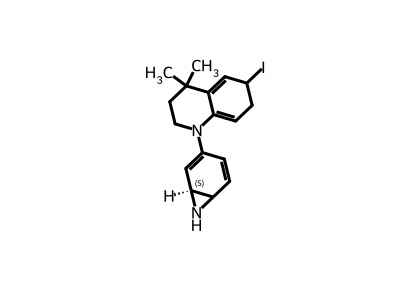 CC1(C)CCN(C2=C[C@@H]3NC3C=C2)C2=CCC(I)C=C21